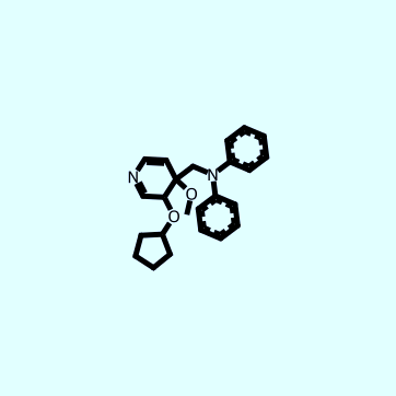 COC1(CN(c2ccccc2)c2ccccc2)C=CN=CC1OC1CCCC1